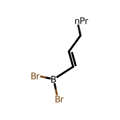 CCCCC=CB(Br)Br